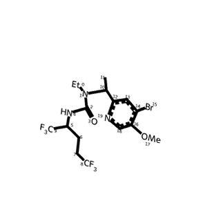 CCN(C(=O)NC(CCC(F)(F)F)C(F)(F)F)C(C)c1cc(Br)c(OC)cn1